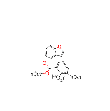 CCCCCCCCOC(=O)c1cccc(CCCCCCCC)c1C(=O)O.c1ccc2occc2c1